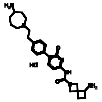 Cl.NC1CCCN(CCc2ccc(-n3ccc(NC(=O)N4CC5(CCC5N)C4)nc3=O)cc2)CC1